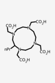 CCCC1CN(CC(=O)O)CCN(CC(=O)O)CCN(CC(=O)O)CCN1CC(=O)O